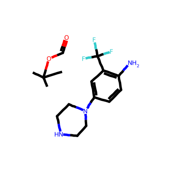 CC(C)(C)OC=O.Nc1ccc(N2CCNCC2)cc1C(F)(F)F